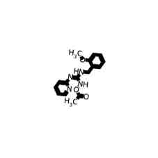 COc1ccccc1CNC(=Nc1ccccn1)NOC(C)=O